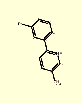 CCc1cccc(-c2ccc(C)cn2)c1